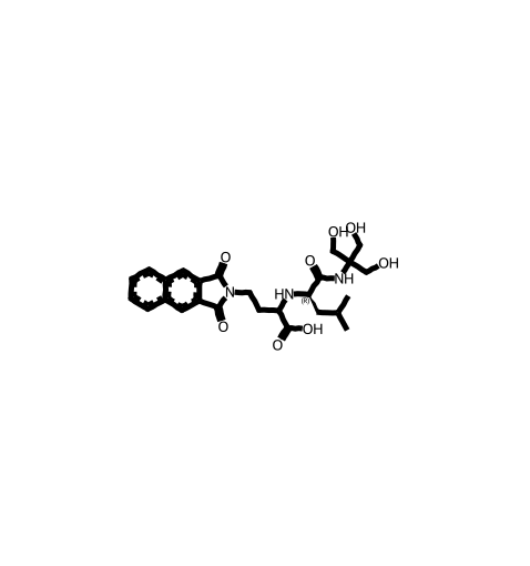 CC(C)C[C@@H](NC(CCN1C(=O)c2cc3ccccc3cc2C1=O)C(=O)O)C(=O)NC(CO)(CO)CO